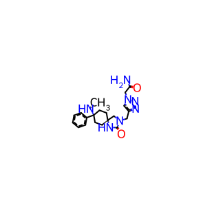 CN[C@]1(c2ccccc2)CC[C@@]2(CC1)CN(Cc1cn(CC(N)=O)nn1)C(=O)N2